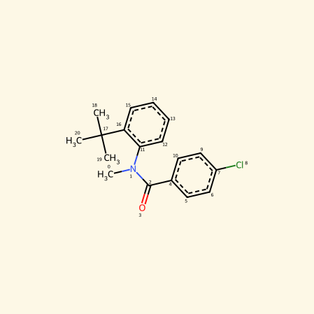 CN(C(=O)c1ccc(Cl)cc1)c1ccccc1C(C)(C)C